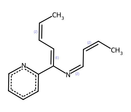 C\C=C/C=N\C(=C\C=C/C)c1ccccn1